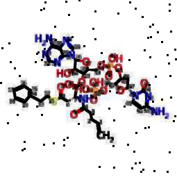 C=CCCC(=O)N[C@H](CC(=O)SCCc1ccccc1)C(=O)O[C@H]1[C@@H](O)[C@H](n2cnc3c(N)ncnc32)O[C@H]1COP(=O)(O)O[C@H]1C[C@H](n2ccc(N)nc2=O)O[C@@H]1COP(=O)(O)O